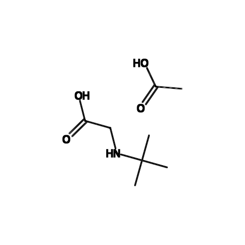 CC(=O)O.CC(C)(C)NCC(=O)O